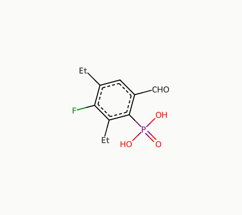 CCc1cc(C=O)c(P(=O)(O)O)c(CC)c1F